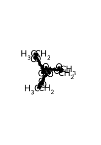 C=C(C)CC(=O)OCCCn1c(=O)n(CCCCCOC(=O)C(=C)C)c(=O)n(CCCOC(=O)C(=C)C)c1=O